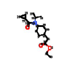 CCOC(=O)CC1CCC(N(C(=O)C2CC2)C(C)C)CC1